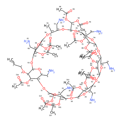 C=CCOC1C2OC(CN)C(OC3OC(CN)C(OC4OC(CN)C(OC5OC(CN)C(OC6OC(CN)C(OC(C(OC(C)=O)OC(C)=O)OC(CN)C(C)OC7OC(CN)C(O2)C(OC(C)=O)C7OC(C)=O)C(OC(C)=O)C6OC(C)=O)C(OC(C)=O)C5OC(C)=O)C(OC(C)=O)C4OC(C)=O)C(OC(C)=O)C3OC(C)=O)C1OC(C)=O